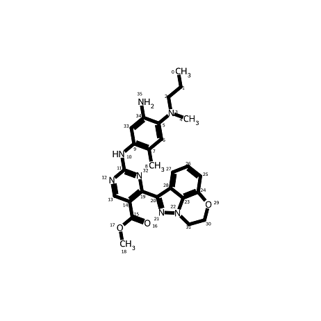 CCCN(C)c1cc(C)c(Nc2ncc(C(=O)OC)c(-c3nn4c5c(cccc35)OCC4)n2)cc1N